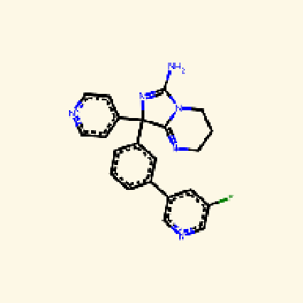 NC1=NC(c2ccncc2)(c2cccc(-c3cncc(F)c3)c2)C2=NCCCN12